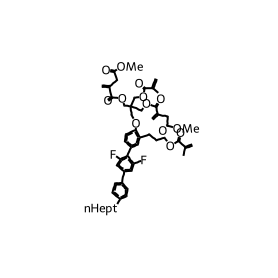 C=C(C)C(=O)OCCCc1cc(-c2c(F)cc(-c3ccc(CCCCCCC)cc3)cc2F)ccc1OCC(COC(=O)C(=C)C)(COC(=O)C(=C)CC(=O)OC)COC(=O)C(=C)CC(=O)OC